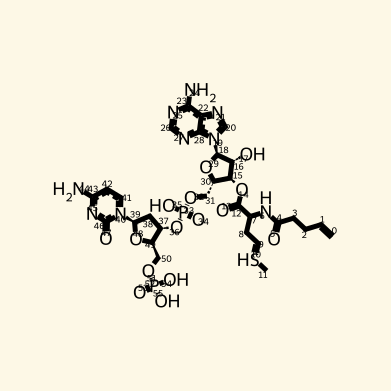 C=CCCC(=O)NC(CC=[SH]C)C(=O)O[C@H]1[C@@H](O)[C@H](n2cnc3c(N)ncnc32)O[C@H]1COP(=O)(O)O[C@H]1C[C@H](n2ccc(N)nc2=O)O[C@@H]1COP(=O)(O)O